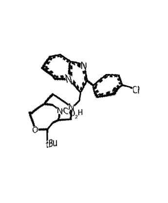 CC(C)(C)C1OCC2CN(Cc3c(-c4ccc(Cl)cc4)nc4ccccn34)CC1N2C(=O)O